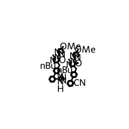 CCCCc1nc(C)n(-c2ncc(OC)cn2)c(=O)c1Cc1ccc(-c2ccccc2-c2nnn[nH]2)cc1.CCCCc1nc(C)n(-c2ncc(OC)cn2)c(=O)c1Cc1ccc(-c2ccccc2C#N)cc1